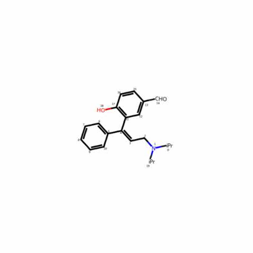 CC(C)N(CC=C(c1ccccc1)c1cc(C=O)ccc1O)C(C)C